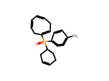 CC1=C=C=C(P(=O)(/C2=C/C/C=C\C=C/C2)C2CC=CCC2)C=C1